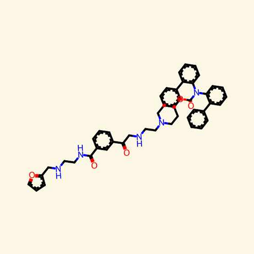 O=C(CNCCN1CCC(OC(=O)N(c2ccccc2-c2ccccc2)c2ccccc2-c2ccccc2)CC1)c1cccc(C(=O)NCCNCc2ccco2)c1